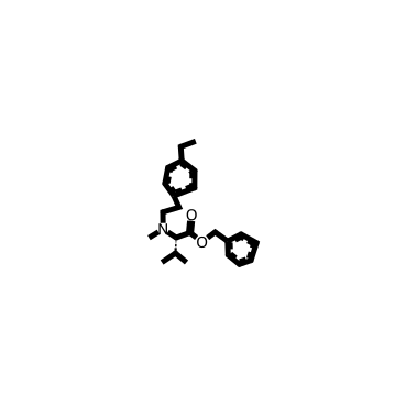 CCc1ccc(CCN(C)[C@H](C(=O)OCc2ccccc2)C(C)C)cc1